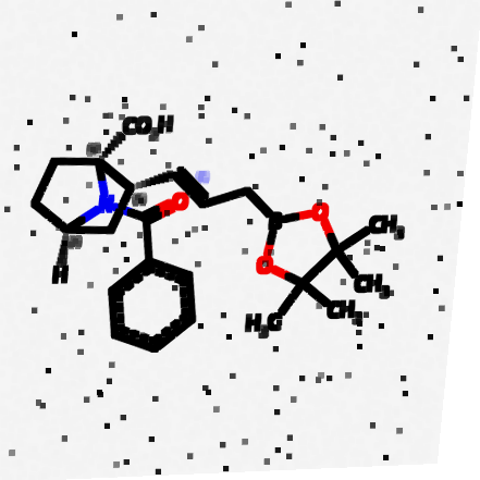 CC1(C)OB(C/C=C/[C@@H]2C[C@H]3CC[C@]2(C(=O)O)N3C(=O)c2ccccc2)OC1(C)C